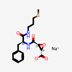 CSCCCNC(=O)[C@H](Cc1ccccc1)NC(=O)[C@H]1O[C@@H]1C(=O)[O-].[Na+]